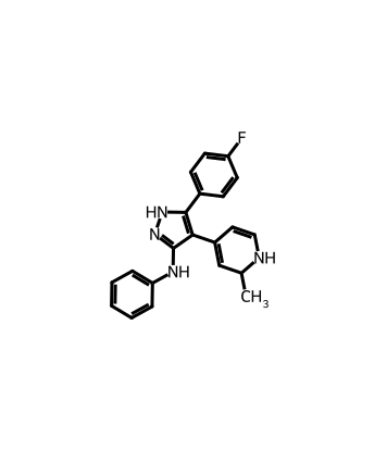 CC1C=C(c2c(Nc3ccccc3)n[nH]c2-c2ccc(F)cc2)C=CN1